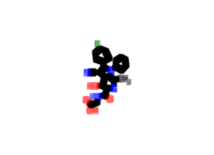 Cc1nc(C(=O)NCC(=O)O)c(O)c2c(C#N)c(-c3ccc(F)cc3)n(-c3ccccc3)c12